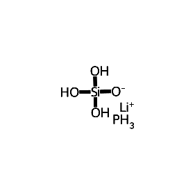 P.[Li+].[O-][Si](O)(O)O